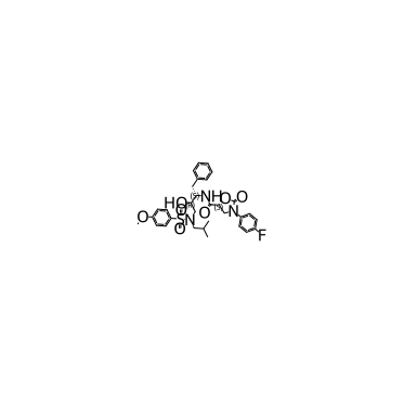 COc1ccc(S(=O)(=O)N(CC(C)C)C[C@@H](O)[C@H](Cc2ccccc2)NC(=O)[C@@H]2CN(c3ccc(F)cc3)C(=O)O2)cc1